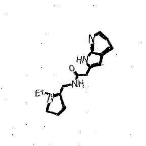 CCN1CCCC1CNC(=O)Cc1[c]c2cccnc2[nH]1